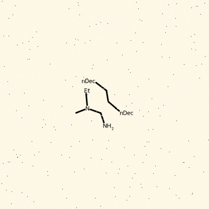 CCCCCCCCCCCCCCCCCCCCCC.CCN(C)CN